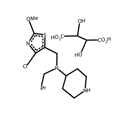 COc1nc(Cl)c(CN(CC(C)C)C2CCNCC2)s1.O=C(O)C(O)C(O)C(=O)O